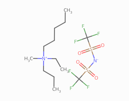 CCCCC[N+](C)(CC)CCC.O=S(=O)([N-]S(=O)(=O)C(F)(F)F)C(F)(F)F